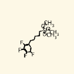 CO[Si](CCCCCc1cc(F)c(F)c(F)c1F)(OC)OC